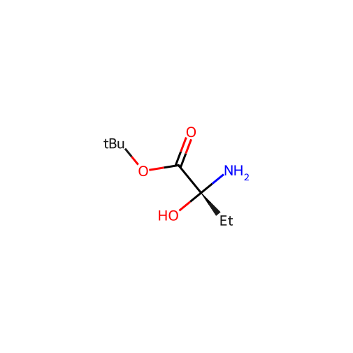 CC[C@@](N)(O)C(=O)OC(C)(C)C